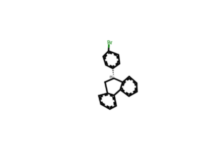 Brc1ccc([C@H]2Cc3ccccc3-c3ccccc32)cc1